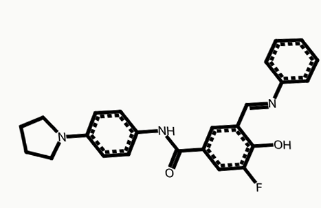 O=C(Nc1ccc(N2CCCC2)cc1)c1cc(F)c(O)c(/C=N/c2ccccc2)c1